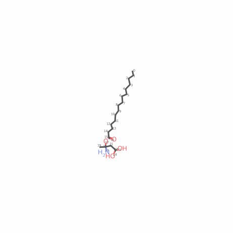 CCCCCCCCCCCCCCCC(=O)OC(C)(N)CC(O)O